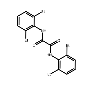 CCc1cccc(CC)c1NC(=O)C(=O)Nc1c(CC)cccc1CC